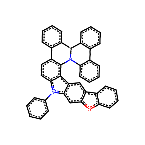 c1ccc(-n2c3cc4oc5ccccc5c4cc3c3c4c(ccc32)-c2ccccc2B2c3ccccc3-c3ccccc3N24)cc1